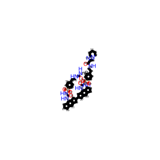 CCCCNC(=O)NCCc1ccc(S(=O)(=O)NC(=O)Nc2c3c(cc4c2CC(C2Cc5cc6c(c(NC(=O)NS(=O)(=O)c7ccc(CCNC(=O)c8cn9c(n8)CCCC9)cc7)c5C2)CCC6)C4)CCC3)cc1